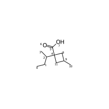 CCC(C)C1(C(=O)O)CC(C)C1